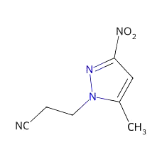 Cc1cc([N+](=O)[O-])nn1CCC#N